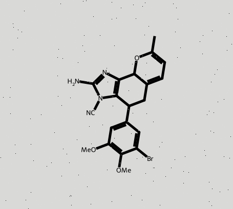 COc1cc(C2CC3=CC=C(C)OC3c3nc(N)n(C#N)c32)cc(Br)c1OC